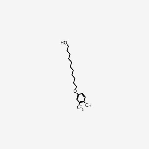 OCCCCCCCCCCCOc1ccc(O)c(C(F)(F)F)c1